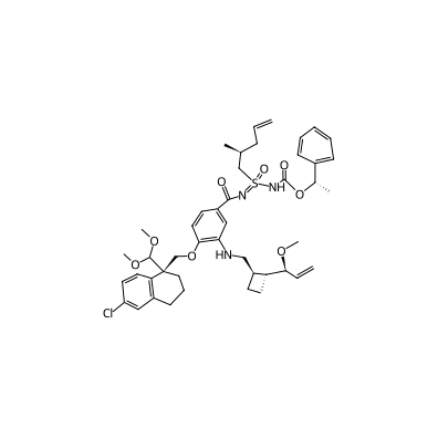 C=CC[C@H](C)CS(=O)(=NC(=O)c1ccc(OC[C@@]2(C(OC)OC)CCCc3cc(Cl)ccc32)c(NC[C@@H]2CC[C@H]2[C@H](C=C)OC)c1)NC(=O)O[C@@H](C)c1ccccc1